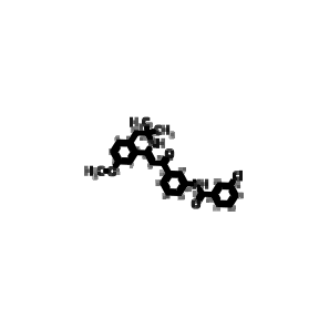 COc1ccc2c(c1)C(=CC(=O)c1cccc(NC(=O)c3cccc(Cl)c3)c1)NC(C)(C)C2